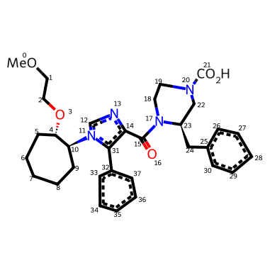 COCCO[C@H]1CCCCC[C@@H]1n1cnc(C(=O)N2CCN(C(=O)O)C[C@H]2Cc2ccccc2)c1-c1ccccc1